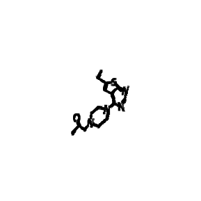 CCc1cc2c(N3CCN(CC(C)=O)CC3)ncnc2s1